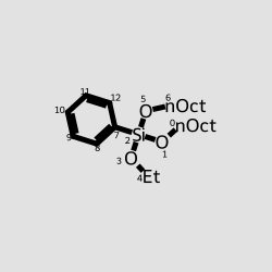 CCCCCCCCO[Si](OCC)(OCCCCCCCC)c1ccccc1